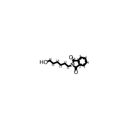 O=C1c2ccccc2C(=O)N1CCCCCCO